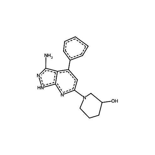 Nc1n[nH]c2nc(N3CCCC(O)C3)cc(-c3ccccc3)c12